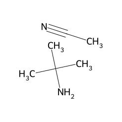 CC#N.CC(C)(C)N